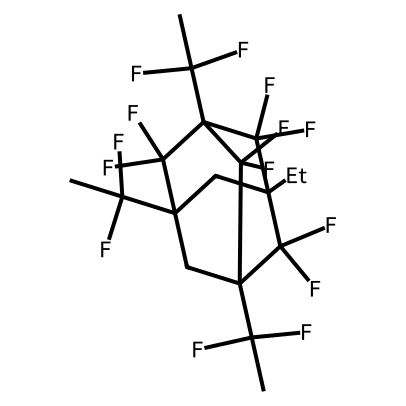 CCC12CC3(C(C)(F)F)CC(C(C)(F)F)(C1(F)F)C(F)(F)C(C(C)(F)F)(C3(F)F)C2(F)F